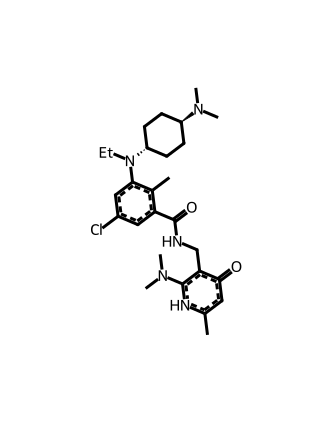 CCN(c1cc(Cl)cc(C(=O)NCc2c(N(C)C)[nH]c(C)cc2=O)c1C)[C@H]1CC[C@H](N(C)C)CC1